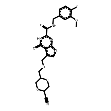 COc1cc(CNC(=O)c2nc3scc(COCC4COC(C#N)CO4)c3c(=O)[nH]2)ccc1F